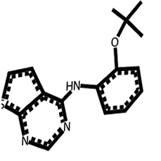 CC(C)(C)Oc1ccccc1Nc1ncnc2sccc12